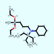 CCO[Si](C)(CCCN(C1CCCCC1)[Si](CC)(CC)CC)OCC